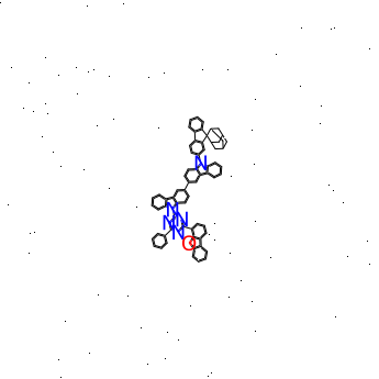 c1ccc(-c2nc(-c3cccc4c3oc3ccccc34)nc(-n3c4ccccc4c4cc(-c5ccc6c(c5)c5ccccc5n6-c5ccc6c(c5)C5(c7ccccc7-6)C6CC7CC(C6)CC5C7)ccc43)n2)cc1